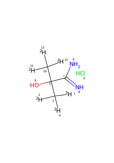 Cl.[2H]C([2H])([2H])C(O)(C(=N)N)C([2H])([2H])[2H]